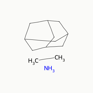 C1C2CC3CC1CC(C2)C3.CC.N